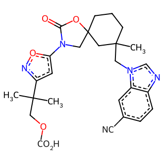 CC1(Cn2cnc3ccc(C#N)cc32)CCCC2(CN(c3cc(C(C)(C)COC(=O)O)no3)C(=O)O2)C1